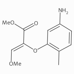 CO/C=C(\Oc1cc(N)ccc1C)C(=O)OC